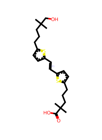 CC(C)(CO)CCCc1ccc(/C=C/c2ccc(CCCC(C)(C)C(=O)O)s2)s1